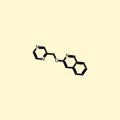 [c]1nc(OCc2cnccn2)cc2ccccc12